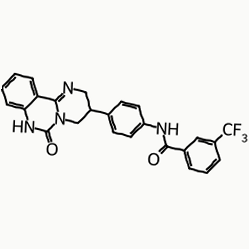 O=C(Nc1ccc(C2CN=C3c4ccccc4NC(=O)N3C2)cc1)c1cccc(C(F)(F)F)c1